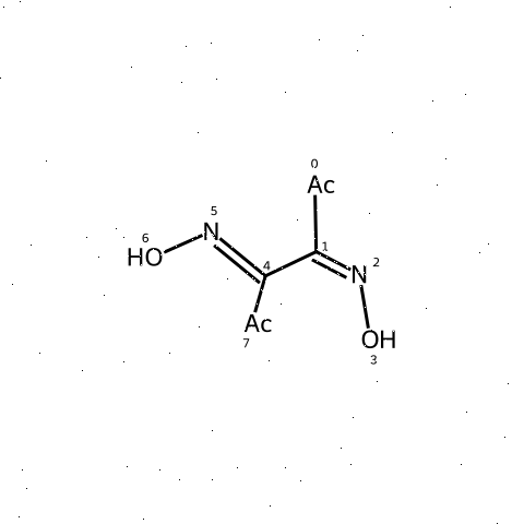 CC(=O)C(=NO)C(=NO)C(C)=O